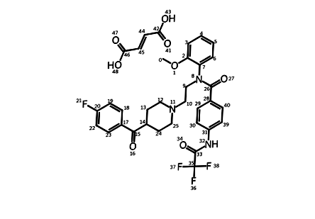 COc1ccccc1N(CCN1CCC(C(=O)c2ccc(F)cc2)CC1)C(=O)c1ccc(NC(=O)C(F)(F)F)cc1.O=C(O)C=CC(=O)O